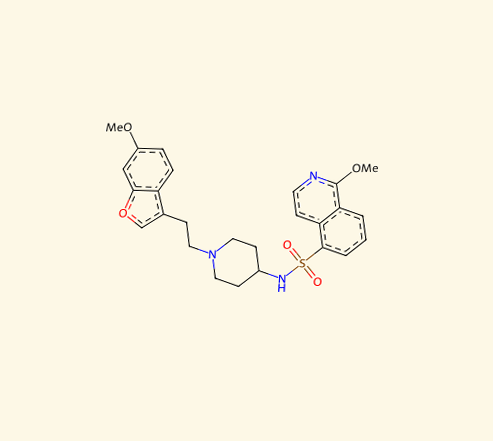 COc1ccc2c(CCN3CCC(NS(=O)(=O)c4cccc5c(OC)nccc45)CC3)coc2c1